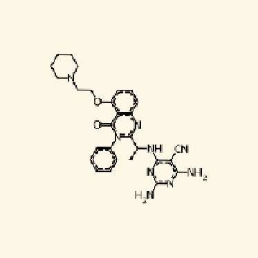 C[C@H](Nc1nc(N)nc(N)c1C#N)c1nc2cccc(OCCN3CCCCC3)c2c(=O)n1-c1ccccc1